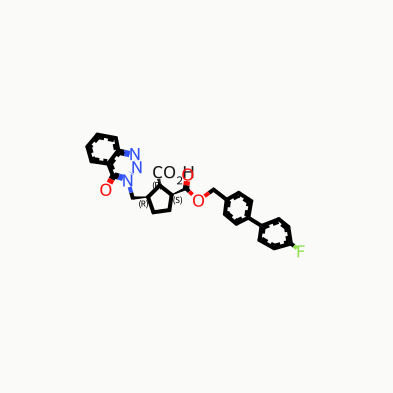 O=C(O)[C@@H]1[C@H](Cn2nnc3ccccc3c2=O)CC[C@@H]1C(=O)OCc1ccc(-c2ccc(F)cc2)cc1